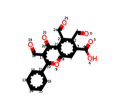 O=Cc1c(C(=O)O)cc2oc(-c3ccccc3)c(C=O)c(=O)c2c1C=O